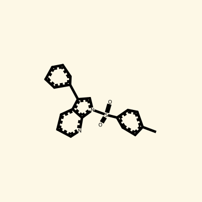 Cc1ccc(S(=O)(=O)n2cc(-c3ccccc3)c3cccnc32)cc1